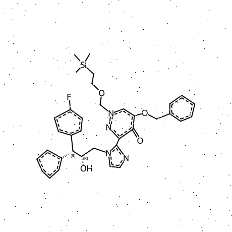 C[Si](C)(C)CCOCn1cc(OCc2ccccc2)c(=O)c(-c2nccn2C[C@H](O)[C@H](c2ccccc2)c2ccc(F)cc2)n1